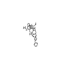 C[C@]12CC[C@@H]3c4ccc(OCc5ccccc5)cc4CC[C@H]3[C@@H]1C(CI)CC2=O